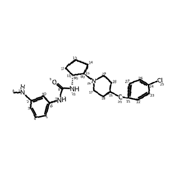 CNc1cccc(NC(=O)N[C@@H]2CCC[C@H]2N2CCC(Cc3ccc(Cl)cc3)CC2)c1